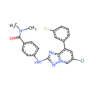 CN(C)C(=O)c1ccc(Nc2nc3c(-c4cccc(F)c4)cc(Cl)cn3n2)cc1